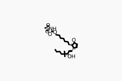 CCCCC(C)(C)[C@H](O)C=C[C@H]1C=CC(=O)[C@@H]1CCCCCCCOC(=O)NS(C)(=O)=O